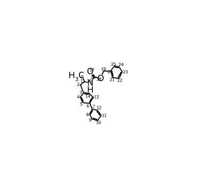 CC(Cc1ccc(-c2ccccc2)cc1)NC(=O)OCc1ccccc1